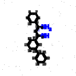 N=C(/C=C(\N)c1ccccc1)c1cccc(-c2ccccc2)c1